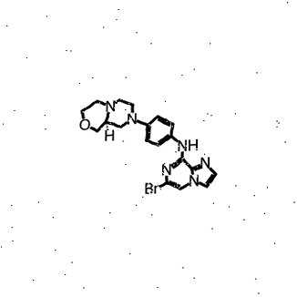 Brc1cn2ccnc2c(Nc2ccc(N3CCN4CCOC[C@@H]4C3)cc2)n1